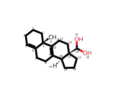 C[C@]12CCCC=C1CCC1=C2CC[C@]2(C(O)O)CCC[C@@H]12